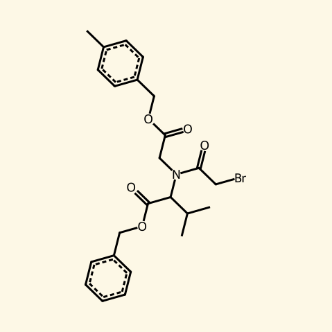 Cc1ccc(COC(=O)CN(C(=O)CBr)C(C(=O)OCc2ccccc2)C(C)C)cc1